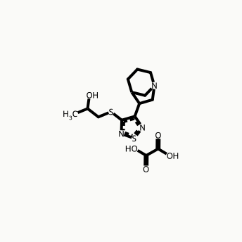 CC(O)CSc1nsnc1C1CN2CCCC1C2.O=C(O)C(=O)O